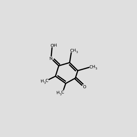 CC1=C(C)C(=NO)C(C)=C(C)C1=O